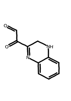 O=CC(=O)C1=Nc2ccccc2NC1